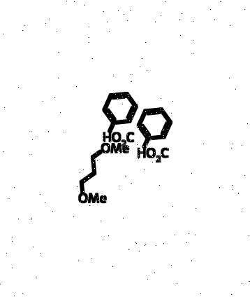 COCCCOC.O=C(O)c1ccccc1.O=C(O)c1ccccc1